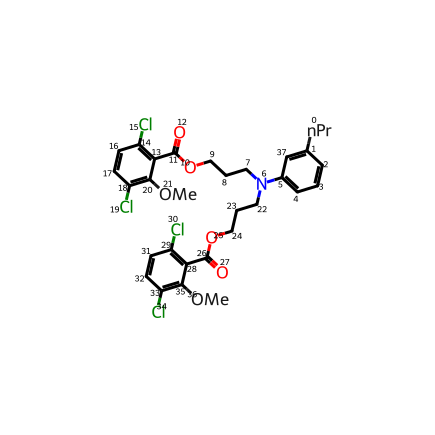 CCCc1cccc(N(CCCOC(=O)c2c(Cl)ccc(Cl)c2OC)CCCOC(=O)c2c(Cl)ccc(Cl)c2OC)c1